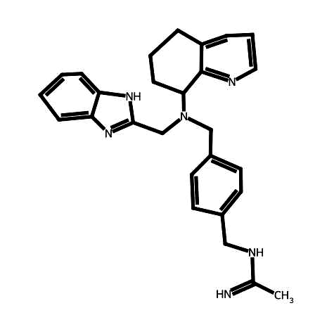 CC(=N)NCc1ccc(CN(Cc2nc3ccccc3[nH]2)C2CCCc3cccnc32)cc1